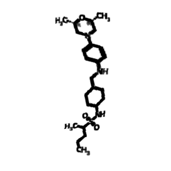 CCCC(C)S(=O)(=O)NC1CCC(CNc2ccc(N3C[C@@H](C)O[C@@H](C)C3)cc2)CC1